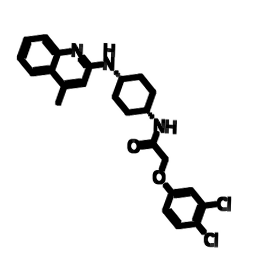 Cc1cc(N[C@H]2CC[C@@H](NC(=O)COc3ccc(Cl)c(Cl)c3)CC2)nc2ccccc12